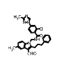 Cc1ccc2c(c1)c(C=O)c(CCCc1ccccc1)n2CNC(=O)c1ccc(-n2cnc(C)n2)cc1Cl